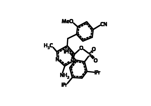 COc1cc(C#N)ccc1Cc1c(C)nc(N)nc1OS(=O)(=O)c1c(C(C)C)cc(C(C)C)cc1C(C)C